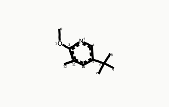 COc1ncc(C(C)(C)C)cc1C